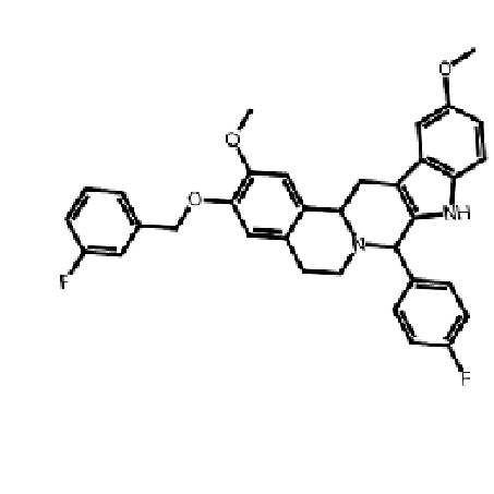 COc1ccc2[nH]c3c(c2c1)CC1c2cc(OC)c(OCc4cccc(F)c4)cc2CCN1C3c1ccc(F)cc1